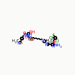 Cc1ncsc1-c1ccc(CNC(=O)[C@@H]2C[C@@H](O)CN2C(=O)C(NC(=O)CCCCCCCN2CCC(n3cc(-c4cnc(N)c(O[C@H](C)c5c(Cl)ccc(F)c5Cl)c4)cn3)CC2)C(C)(C)C)cc1